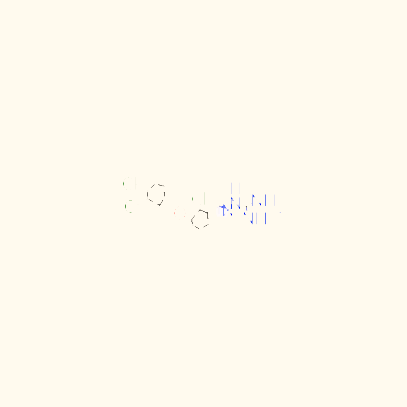 N=C(N)N/N=C/c1cccc(OCc2ccc(Cl)c(Cl)c2)c1Cl